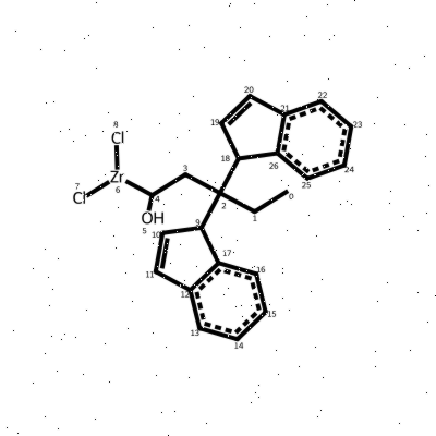 CCC(C[CH](O)[Zr]([Cl])[Cl])(C1C=Cc2ccccc21)C1C=Cc2ccccc21